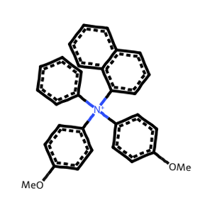 COc1ccc([N+](c2ccccc2)(c2ccc(OC)cc2)c2cccc3ccccc23)cc1